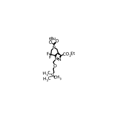 CCOC(=O)c1nn(COCC[Si](C)(C)C)c2c1CN(C(=O)OC(C)(C)C)CC2(F)F